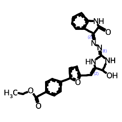 CCOC(=O)c1ccc(-c2ccc(/C=C3\N/C(=N\N=C4/C(=O)Nc5ccccc54)NC3O)o2)cc1